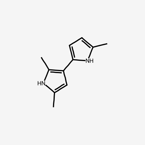 Cc1ccc(-c2cc(C)[nH]c2C)[nH]1